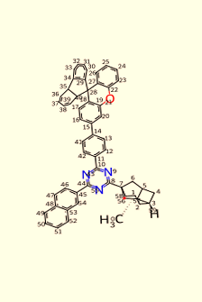 C[C@@H]1C[C@H]2CC3CC(c4nc(-c5ccc(-c6ccc7c(c6)Oc6ccccc6C76c7ccccc7C7C=CC=CC76)cc5)nc(-c5ccc6ccccc6c5)n4)(CC32)C1